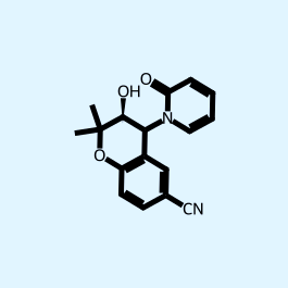 CC1(C)Oc2ccc(C#N)cc2C(n2ccccc2=O)[C@@H]1O